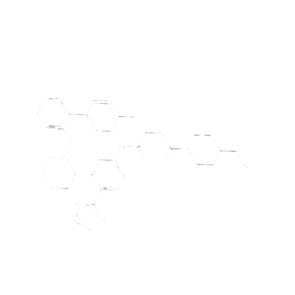 Cl.NCC1CCC(C(=O)N[C@@H](Cc2ccc(-c3ccccc3CN3CCNCC3)cc2)C(=O)Nc2ccc(-c3nnn[nH]3)cc2)CC1